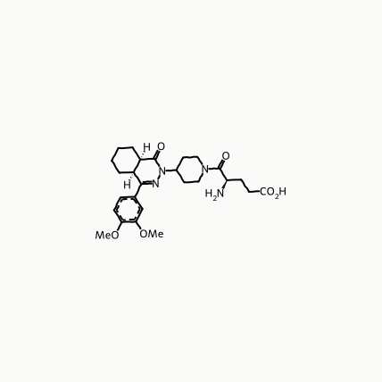 COc1ccc(C2=NN(C3CCN(C(=O)[C@H](N)CCC(=O)O)CC3)C(=O)[C@@H]3CCCC[C@H]23)cc1OC